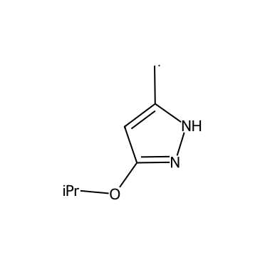 [CH2]c1cc(OC(C)C)n[nH]1